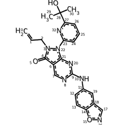 C=CCn1c(=O)c2cnc(Nc3ccc4oncc4c3)nc2n1-c1cccc(C(C)(C)O)n1